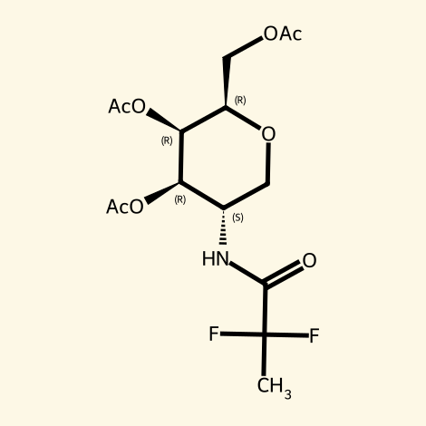 CC(=O)OC[C@H]1OC[C@H](NC(=O)C(C)(F)F)[C@@H](OC(C)=O)[C@H]1OC(C)=O